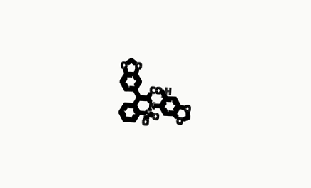 Cc1cc2c(cc1N1C(C(=O)O)=C(c3ccc4c(c3)OCO4)c3ccccc3S1(=O)=O)OCO2